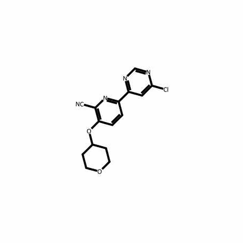 N#Cc1nc(-c2cc(Cl)ncn2)ccc1OC1CCOCC1